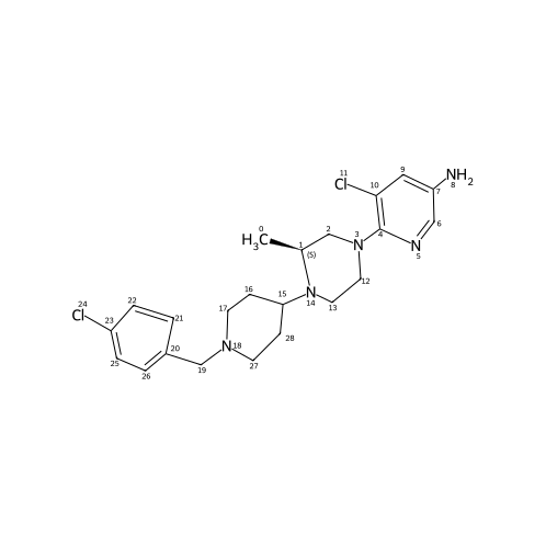 C[C@H]1CN(c2ncc(N)cc2Cl)CCN1C1CCN(Cc2ccc(Cl)cc2)CC1